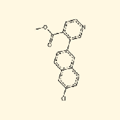 COC(=O)c1ccncc1-c1ccc2cc(Cl)ccc2c1